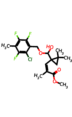 COC(=O)C(C)=CC1(C(O)OCc2c(F)c(F)c(C)c(F)c2Cl)CC1(C)C